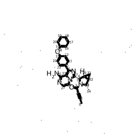 CC#CC(=O)N1[C@H](c2nc(-c3ccc(Oc4ccccc4)cc3)c3c(N)nccn23)[C@H]2CC2[C@@H]1C